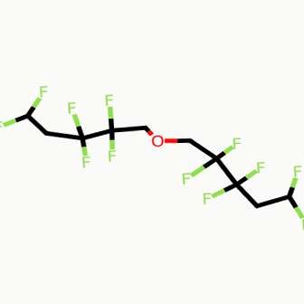 FC(F)CC(F)(F)C(F)(F)COCC(F)(F)C(F)(F)CC(F)F